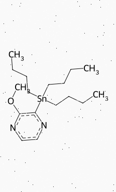 CCC[CH2][Sn]([CH2]CCC)([CH2]CCC)[c]1nccnc1OC